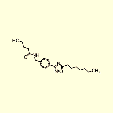 CCCCCCCc1nc(-c2ccc(CNC(=O)CCCO)cc2)no1